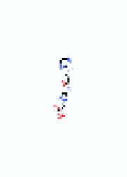 O=C(O)Cn1cc(NC(=O)CCNc2ncccn2)cn1